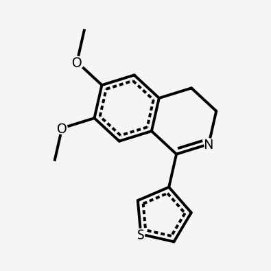 COc1cc2c(cc1OC)C(c1ccsc1)=NCC2